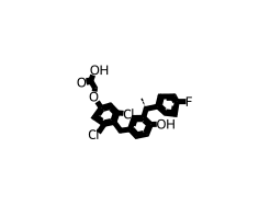 C[C@H](c1ccc(F)cc1)c1cc(Cc2c(Cl)cc(OCC(=O)O)cc2Cl)ccc1O